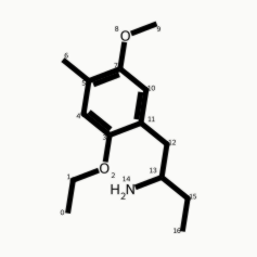 CCOc1cc(C)c(OC)cc1CC(N)CC